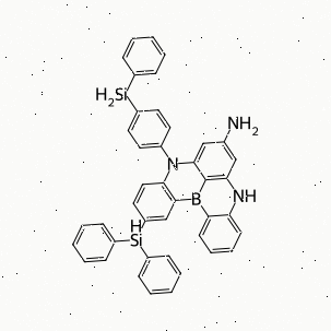 Nc1cc2c3c(c1)N(c1ccc([SiH2]c4ccccc4)cc1)c1ccc([SiH](c4ccccc4)c4ccccc4)cc1B3c1ccccc1N2